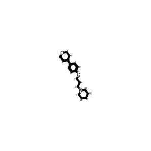 c1cc([C]2CCOCC2)ccc1OCCCN1CCCCC1